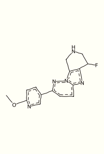 COc1ccc(-c2ccc3nc4c(n3n2)CNCC4F)cn1